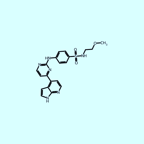 COCCNS(=O)(=O)c1ccc(Nc2nccc(-c3ccnc4[nH]ccc34)n2)cc1